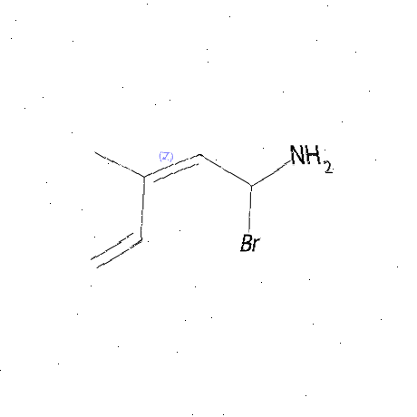 C=C/C(C)=C\C(N)Br